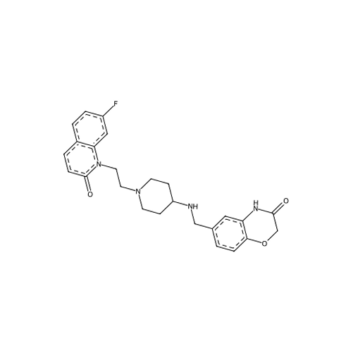 O=C1COc2ccc(CNC3CCN(CCn4c(=O)ccc5ccc(F)cc54)CC3)cc2N1